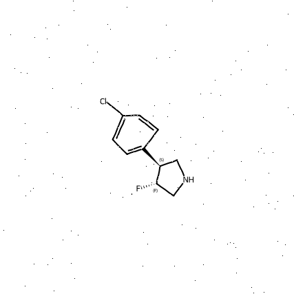 F[C@H]1CNC[C@@H]1c1ccc(Cl)cc1